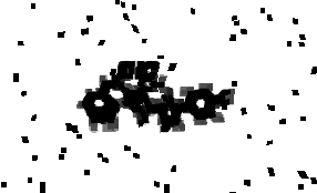 Cc1c(N(C=O)Cc2ccccc2)cnn1-c1nc(-c2ccc(Cl)cc2)cs1